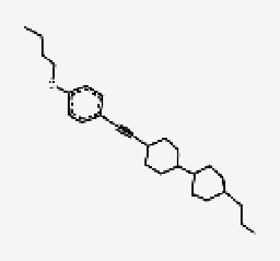 CCCCOc1ccc(C#CC2CCC(C3CCC(CCC)CC3)CC2)cc1